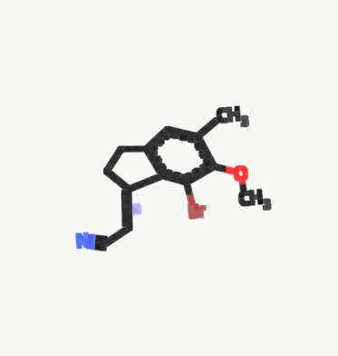 COc1c(C)cc2c(c1Br)/C(=C/C#N)CC2